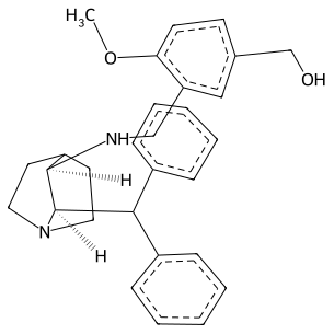 COc1ccc(CO)cc1CN[C@@H]1C2CCN(CC2)[C@@H]1C(c1ccccc1)c1ccccc1